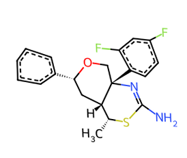 C[C@H]1SC(N)=N[C@@]2(c3ccc(F)cc3F)CO[C@@H](c3ccccc3)C[C@@H]12